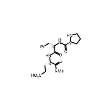 CNC(=O)[C@H](CCC(=O)O)NC(=O)[C@H](CC(C)C)NC(=O)[C@@H]1CCCN1